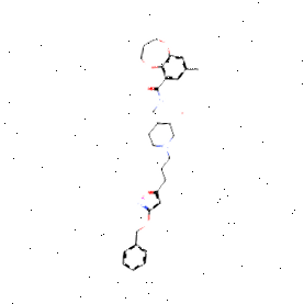 Cc1cc2c(c(C(=O)NC[C@@H]3CCN(CCCc4cc(OCc5ccccc5)no4)C[C@H]3O)c1)OCCCO2